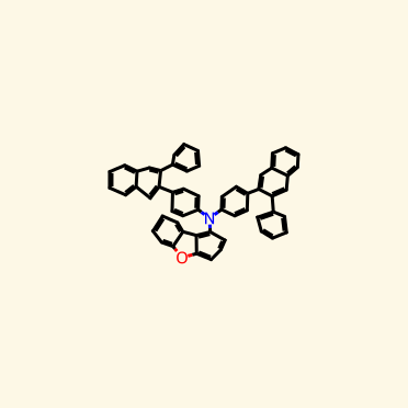 c1ccc(-c2cc3ccccc3cc2-c2ccc(N(c3ccc(-c4cc5ccccc5cc4-c4ccccc4)cc3)c3cccc4oc5ccccc5c34)cc2)cc1